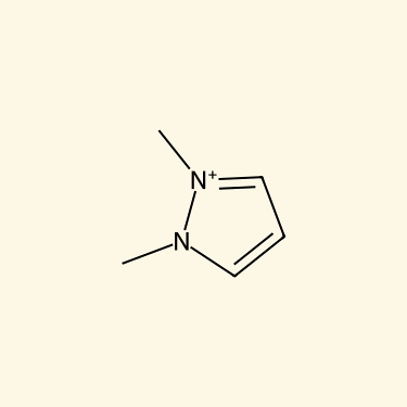 Cn1ccc[n+]1C